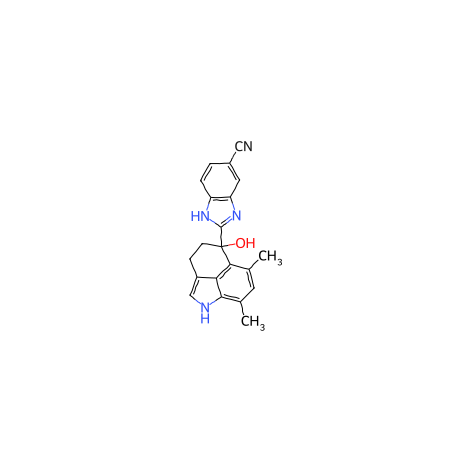 Cc1cc(C)c2[nH]cc3c2c1C(O)(c1nc2cc(C#N)ccc2[nH]1)CC3